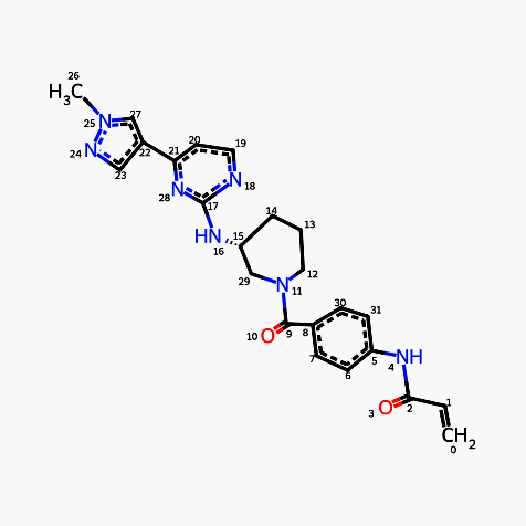 C=CC(=O)Nc1ccc(C(=O)N2CCC[C@@H](Nc3nccc(-c4cnn(C)c4)n3)C2)cc1